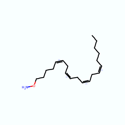 CCCCC/C=C\C/C=C\C/C=C\C/C=C\CCCCON